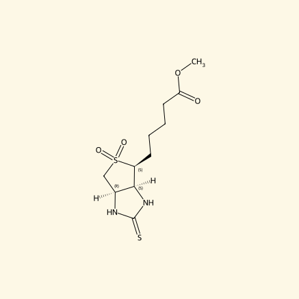 COC(=O)CCCC[C@H]1[C@H]2NC(=S)N[C@H]2CS1(=O)=O